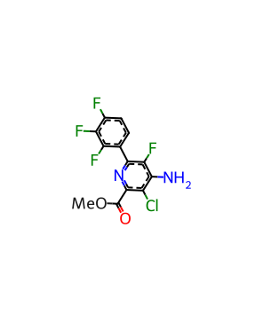 COC(=O)c1nc(-c2ccc(F)c(F)c2F)c(F)c(N)c1Cl